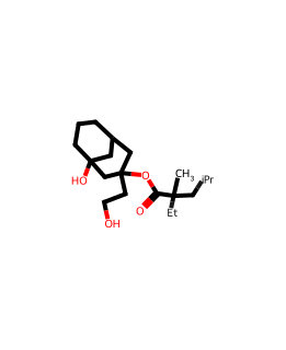 CCC(C)(CC(C)C)C(=O)OC1(CCO)CC2CCCC(O)(C2)C1